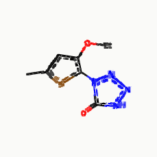 CCOc1cc(C)sc1-n1nn[nH]c1=O